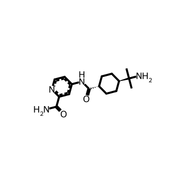 CC(C)(N)[C@H]1CC[C@H](C(=O)Nc2ccnc(C(N)=O)c2)CC1